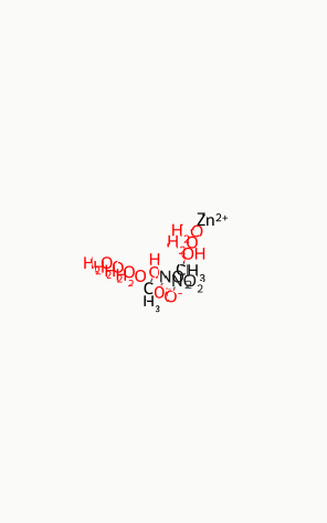 CO.CO.O.O.O.O.O.O.O=[N+]([O-])[O-].O=[N+]([O-])[O-].[Zn+2]